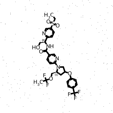 CCS(=O)(=O)c1ccc([C@H](CO)NC(=O)c2ccc(N3CC(Oc4ccc(C(F)(F)F)cc4)C[C@H]3COC(C)(F)F)nc2)nc1